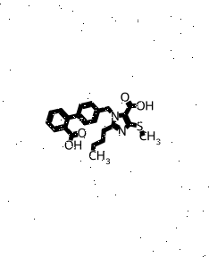 CCCCc1nc(SC)c(C(=O)O)n1Cc1ccc(-c2ccccc2C(=O)O)cc1